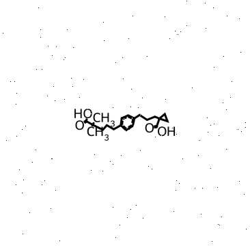 CC(C)(CCCc1ccc(CCCC2(C(=O)O)CC2)cc1)C(=O)O